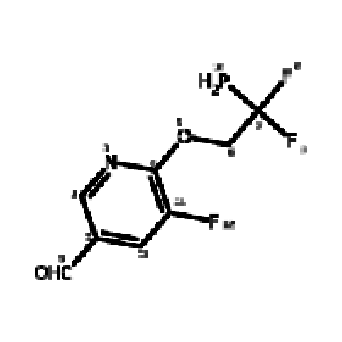 O=Cc1cnc(OCC(F)(F)P)c(F)c1